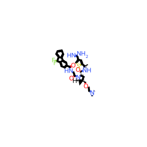 C[C@@H](NC(=O)[C@@H]1C[C@]2(COCCN(C)C)C[C@@H]2N1C(=O)CNC(=O)c1ccc2c(c1)-c1ccccc1C2(F)F)c1cc(C(=N)N)cs1